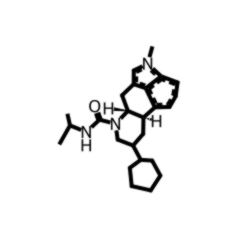 CC(C)NC(=O)N1CC(C2CCCCC2)C[C@@H]2c3cccc4c3c(cn4C)C[C@H]21